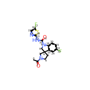 CC(=O)N1CCC2(C1)CN(C(=O)Nc1ncc(F)s1)c1ccc(F)cc12